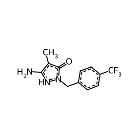 Cc1c(N)[nH]n(Cc2ccc(C(F)(F)F)cc2)c1=O